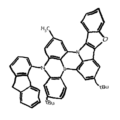 Cc1cc2c3c(c1)-n1c4c(cc(C(C)(C)C)cc4c4oc5ccccc5c41)B3c1ccc(C(C)(C)C)cc1N2c1cccc2c1-c1ccccc1C2